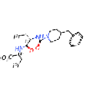 CC(C)C[C@H](NC(=O)[C@H](CC(C)C)NC(=O)N1CCC(Cc2ccccc2)CC1)C(=O)O